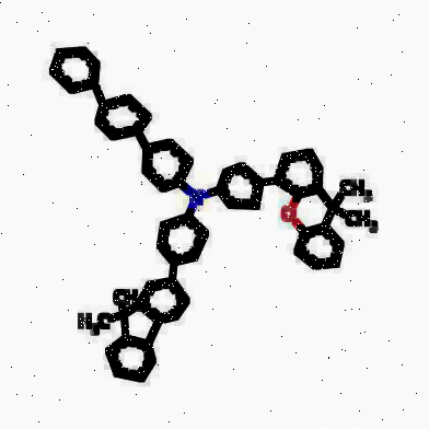 CC1(C)c2ccccc2-c2ccc(-c3ccc(N(c4ccc(-c5ccc(-c6ccccc6)cc5)cc4)c4ccc(-c5cccc6c5Oc5ccccc5C6(C)C)cc4)cc3)cc21